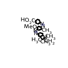 C=C1N(C)c2ccc(/N=N\c3cc(C)c(/N=N\c4ccc(C(=O)O)cc4)cc3OC)cc2C1(C)C